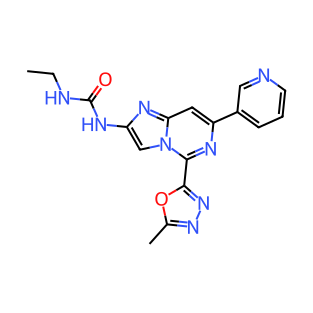 CCNC(=O)Nc1cn2c(-c3nnc(C)o3)nc(-c3cccnc3)cc2n1